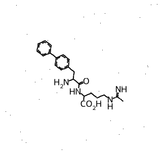 CC(=N)NCCCC(NC(=O)C(N)Cc1ccc(-c2ccccc2)cc1)C(=O)O